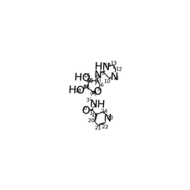 O=C(NC[C@H]1OC[C@H](Nc2cnccn2)[C@@H](O)[C@H]1O)c1cccnc1